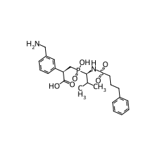 CC(C)[C@H](NS(=O)(=O)CCCc1ccccc1)P(=O)(O)C[C@@H](C(=O)O)c1cccc(CN)c1